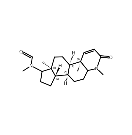 CN(C=O)C1CC[C@H]2[C@@H]3CCC4N(C)C(=O)C=C[C@]4(C)[C@@H]3CC[C@]12C